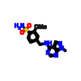 COc1cc(CNc2ncnc3c2cnn3C)ccc1S(N)(=O)=O